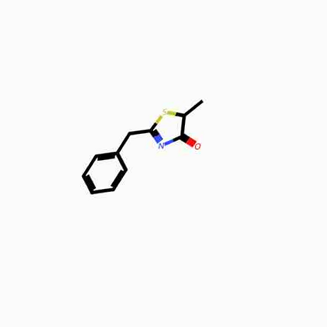 CC1SC(Cc2ccccc2)=NC1=O